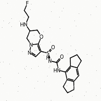 O=C(N=[SH](=O)c1cnn2c1OCC(NCCF)C2)Nc1c2c(cc3c1CCC3)CCC2